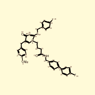 COc1ncc(Cc2cn(CCCC(=O)NCc3ccc(-c4ccc(F)cc4)cc3)c(SCc3ccc(F)cc3)nc2=O)cn1